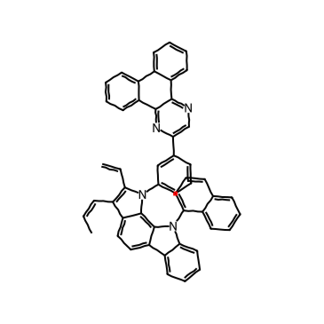 C=Cc1c(/C=C\C)c2ccc3c4ccccc4n(-c4cccc5ccccc45)c3c2n1-c1cccc(-c2cnc3c4ccccc4c4ccccc4c3n2)c1